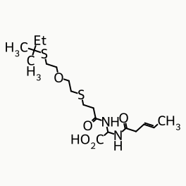 C/C=C/CC(=O)NC(NC(=O)CCSCCOCCSC(C)(C)CC)C(=O)O